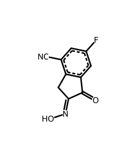 N#Cc1cc(F)cc2c1C/C(=N\O)C2=O